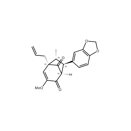 C=CC[C@@]12C=C(OC)C(=O)[C@@H](C1=O)[C@H](c1ccc3c(c1)OCO3)[C@H]2C